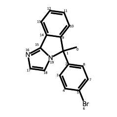 CC1(c2ccc(Br)cc2)c2ccccc2-c2nccn21